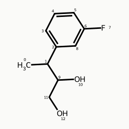 CC(c1cccc(F)c1)C(O)CO